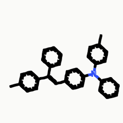 Cc1ccc(C(=Cc2ccc(N(c3ccccc3)c3ccc(C)cc3)cc2)c2ccccc2)cc1